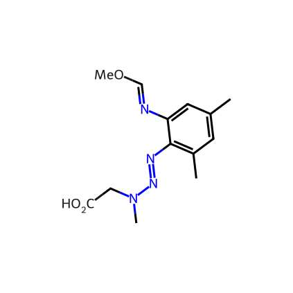 CO/C=N/c1cc(C)cc(C)c1/N=N/N(C)CC(=O)O